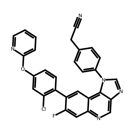 N#CCc1ccc(-n2cnc3cnc4cc(F)c(-c5ccc(Oc6ccccn6)cc5Cl)cc4c32)cc1